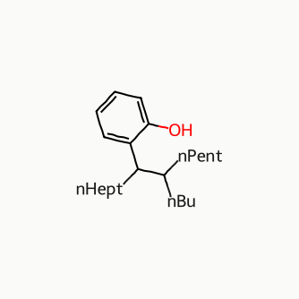 CCCCCCCC(c1ccccc1O)C(CCCC)CCCCC